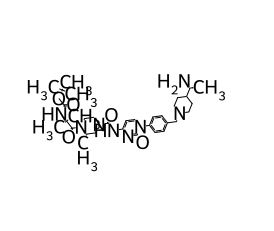 C[C@H](N)C1CCN(Cc2ccc(-n3ccc(NC(=O)N4CCN(C(=O)C(C)(C)NC(=O)OC(C)(C)C)[C@H](C)C4)nc3=O)cc2)CC1